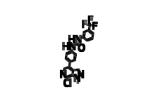 Cn1ncc2c(-c3ccc(NC(=O)Nc4cccc(C(F)(F)F)c4)cc3)cnc(Cl)c21